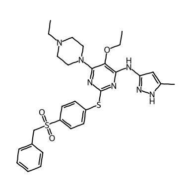 CCOc1c(Nc2cc(C)[nH]n2)nc(Sc2ccc(S(=O)(=O)Cc3ccccc3)cc2)nc1N1CCN(CC)CC1